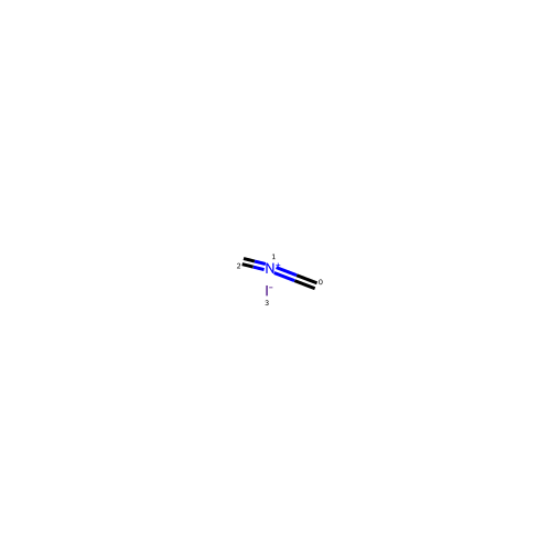 C=[N+]=C.[I-]